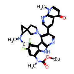 CN(C(=O)OC(C)(C)C)c1cc(F)c(F)c2c1[nH]c1ncc(-c3cnc4c(c3)c(=O)ccn4C)c(N3CCC4(CC4N(C)C)C3)c12